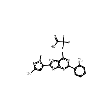 Cc1nc(-c2ccccc2C(F)(F)F)nc2nc(-c3cc(C(C)(C)C)nn3C)[nH]c12.O=C(O)C(F)(F)F